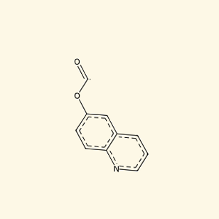 O=[C]Oc1ccc2ncccc2c1